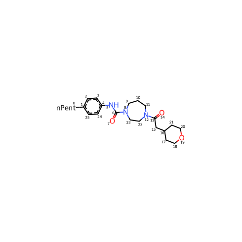 CCCCCc1ccc(NC(=O)N2CCCN(C(=O)CC3CCOCC3)CC2)cc1